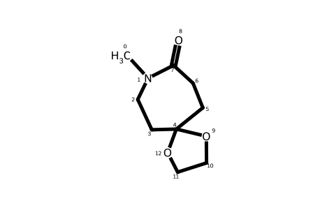 CN1CCC2(CCC1=O)OCCO2